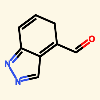 O=CC1=C2C=NN=C2C=CC1